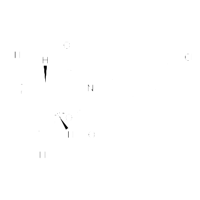 Cc1cc(N2C(=O)[C@H]3[C@@H]4CC[C@@H](C(=O)C4)[C@H]3C2=O)ccc1Cl